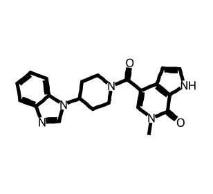 Cn1cc(C(=O)N2CCC(n3cnc4ccccc43)CC2)c2cc[nH]c2c1=O